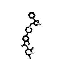 O=C1CCC(N2Cc3cc(C4CCN(Cc5c[nH]nc5-c5ccccc5)CC4)ccc3C2=O)C(=O)N1